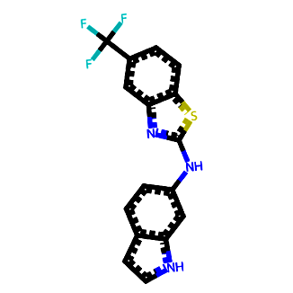 FC(F)(F)c1ccc2sc(Nc3ccc4cc[nH]c4c3)nc2c1